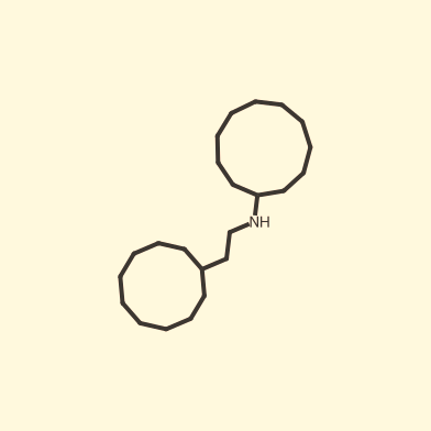 C1CCCCC(CCNC2CCCCCCCCCC2)CCCC1